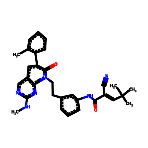 CNc1ncc2cc(-c3ccccc3C)c(=O)n(CCc3cccc(NC(=O)/C(C#N)=C/C(C)(C)C)c3)c2n1